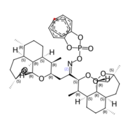 C[C@H]1[C@@H](/C(C[C@H]2O[C@@H]3C[C@]4(C)CC[C@H]5[C@H](C)CC[C@@H]([C@H]2C)[C@@]35OO4)=N\OP(=O)(Oc2ccccc2)Oc2ccccc2)O[C@@H]2C[C@]3(C)CC[C@H]4[C@H](C)CC[C@@H]1[C@@]24OO3